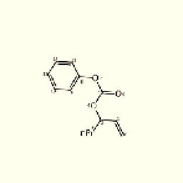 C=CC(CCC)OC(=O)Oc1ccccc1